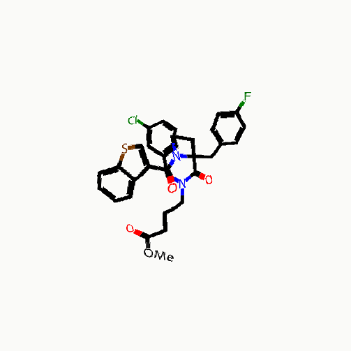 COC(=O)CCCN(Cc1cccc(Cl)c1)C(=O)C1(Cc2ccc(F)cc2)CCN1C(=O)c1csc2ccccc12